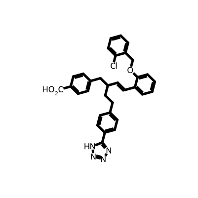 O=C(O)c1ccc(CC(C=Cc2ccccc2OCc2ccccc2Cl)CCc2ccc(-c3nnn[nH]3)cc2)cc1